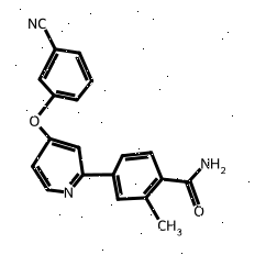 Cc1cc(-c2cc(Oc3cccc(C#N)c3)ccn2)ccc1C(N)=O